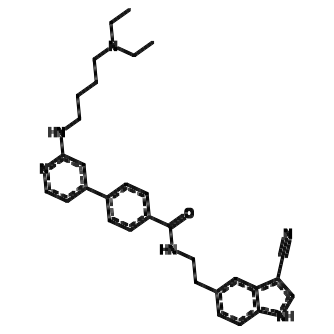 CCN(CC)CCCCNc1cc(-c2ccc(C(=O)NCCc3ccc4[nH]cc(C#N)c4c3)cc2)ccn1